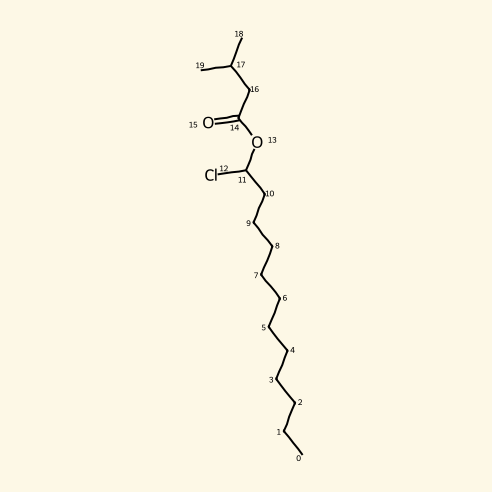 CCCCCCCCCCCC(Cl)OC(=O)CC(C)C